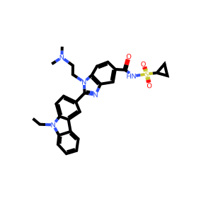 CCn1c2ccccc2c2cc(-c3nc4cc(C(=O)NS(=O)(=O)C5CC5)ccc4n3CCN(C)C)ccc21